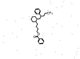 CCCC(CC1CCCCC1CCCCOC(=O)c1ccccc1)c1ccccc1